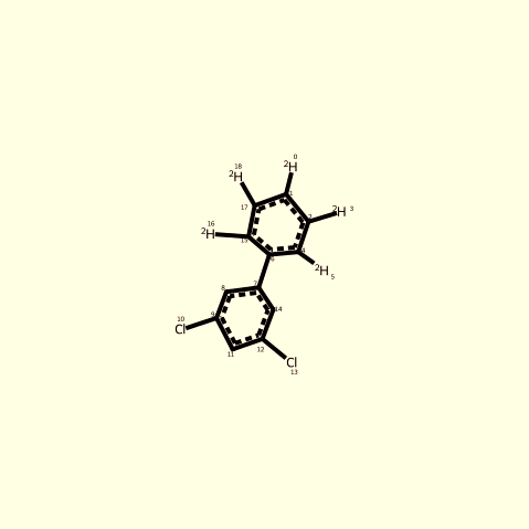 [2H]c1c([2H])c([2H])c(-c2cc(Cl)cc(Cl)c2)c([2H])c1[2H]